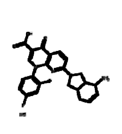 Cl.NC1C=CCC2CN(c3ccc4c(=O)c(C(=O)O)cn(-c5ccc(F)cc5F)c4n3)CC12